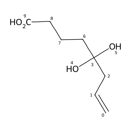 C=CCC(O)(O)CCCC(=O)O